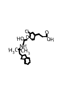 CC(C)(CC1Cc2ccccc2C1)NC[C@H](O)COc1ccc(CCC(=O)O)cc1Cl